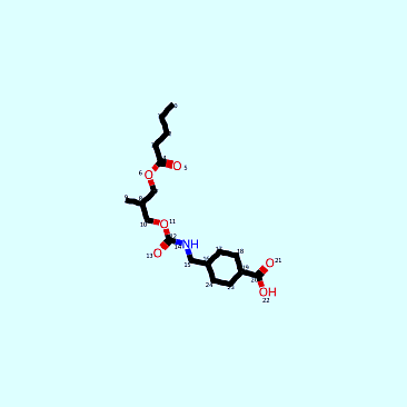 CCCCC(=O)OCC(C)COC(=O)NCC1CCC(C(=O)O)CC1